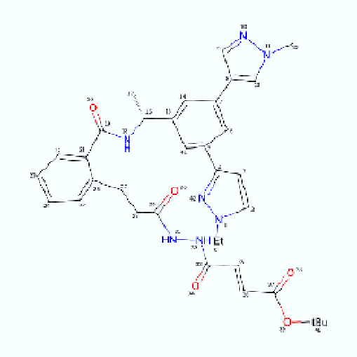 CCn1ccc(-c2cc(-c3cnn(C)c3)cc([C@@H](C)NC(=O)c3ccccc3CCC(=O)NNC(=O)/C=C/C(=O)OC(C)(C)C)c2)n1